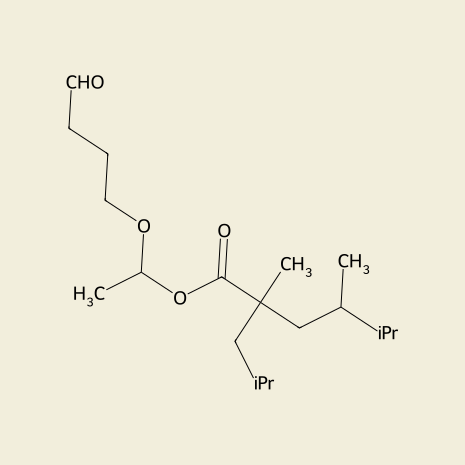 CC(C)CC(C)(CC(C)C(C)C)C(=O)OC(C)OCCCC=O